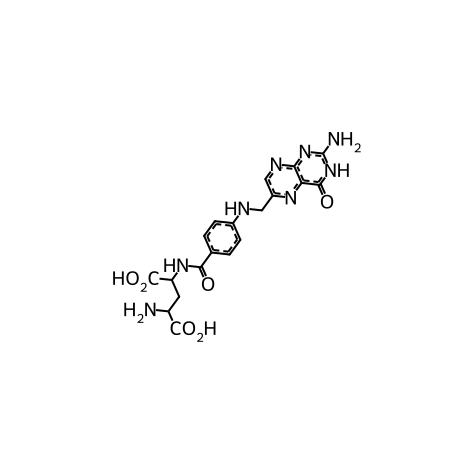 Nc1nc2ncc(CNc3ccc(C(=O)NC(CC(N)C(=O)O)C(=O)O)cc3)nc2c(=O)[nH]1